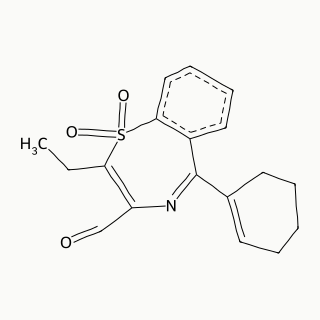 CCC1=C(C=O)N=C(C2=CCCCC2)c2ccccc2S1(=O)=O